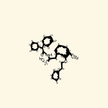 COc1cccc(CC(NC(=O)C(c2ccccc2)c2ccccc2)C(=O)O)c1OCCc1ccccc1